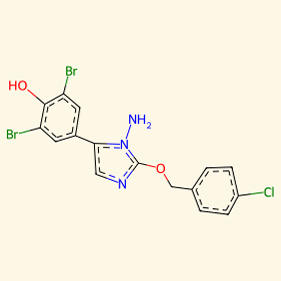 Nn1c(-c2cc(Br)c(O)c(Br)c2)cnc1OCc1ccc(Cl)cc1